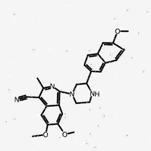 COc1ccc2cc(C3CN(c4nc(C)c(C#N)c5cc(OC)c(OC)cc45)CCN3)ccc2c1